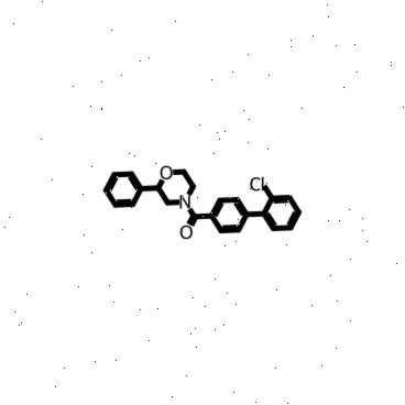 O=C(c1ccc(-c2ccccc2Cl)cc1)N1CCOC(c2ccccc2)C1